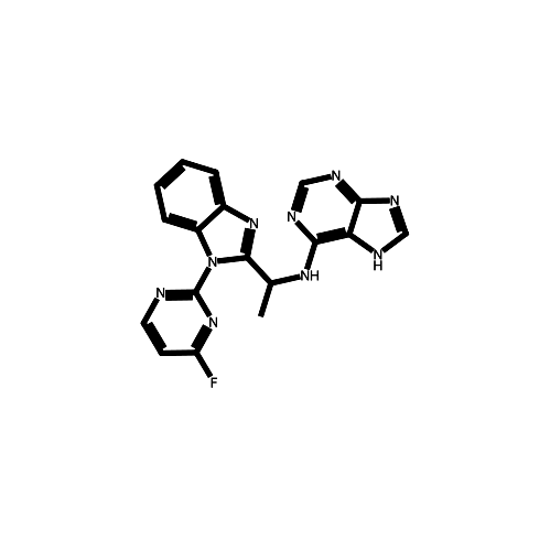 CC(Nc1ncnc2nc[nH]c12)c1nc2ccccc2n1-c1nccc(F)n1